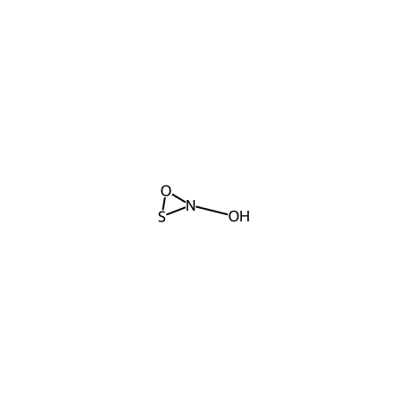 On1os1